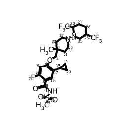 CC1(COc2cc(F)c(C(=O)NS(C)(=O)=O)cc2C2CC2)CCN(N2CC(C(F)(F)F)CCC2C(F)(F)F)CC1